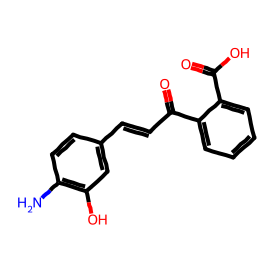 Nc1ccc(/C=C/C(=O)c2ccccc2C(=O)O)cc1O